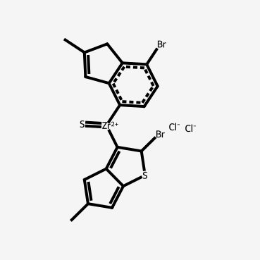 CC1=CC2=[C]([Zr+2](=[S])[c]3ccc(Br)c4c3C=C(C)C4)C(Br)SC2=C1.[Cl-].[Cl-]